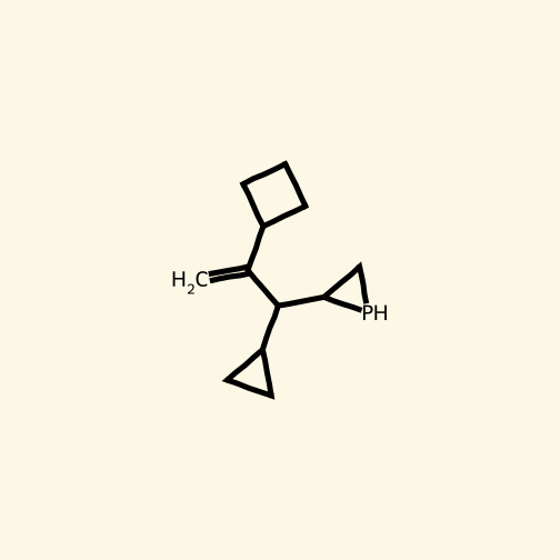 C=C(C1CCC1)C(C1CC1)C1CP1